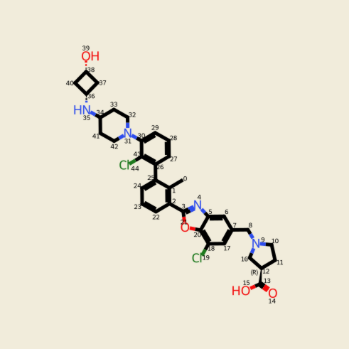 Cc1c(-c2nc3cc(CN4CC[C@@H](C(=O)O)C4)cc(Cl)c3o2)cccc1-c1cccc(N2CCC(N[C@H]3C[C@@H](O)C3)CC2)c1Cl